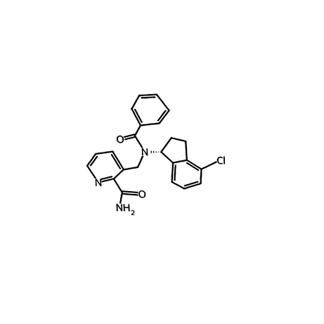 NC(=O)c1ncccc1CN(C(=O)c1ccccc1)[C@@H]1CCc2c(Cl)cccc21